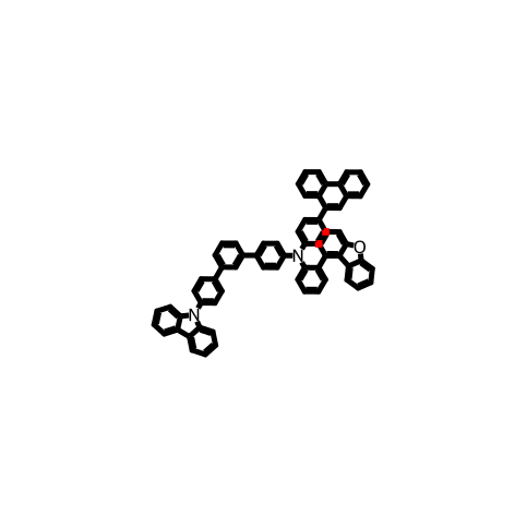 c1cc(-c2ccc(N(c3ccc(-c4cc5ccccc5c5ccccc45)cc3)c3ccccc3-c3cccc4oc5ccccc5c34)cc2)cc(-c2ccc(-n3c4ccccc4c4ccccc43)cc2)c1